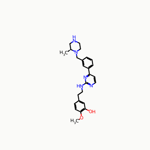 COc1ccc(CCNc2nccc(-c3cccc(CN4CCNC[C@@H]4C)c3)n2)cc1O